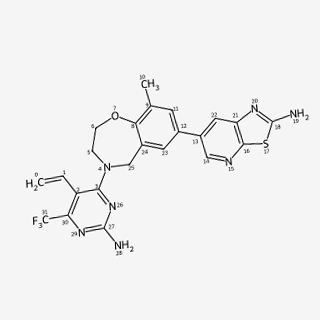 C=Cc1c(N2CCOc3c(C)cc(-c4cnc5sc(N)nc5c4)cc3C2)nc(N)nc1C(F)(F)F